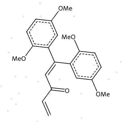 C=CC(=O)C=C(c1cc(OC)ccc1OC)c1cc(OC)ccc1OC